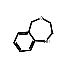 [CH]1COCc2ccccc2N1